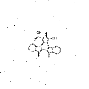 O=C(O)c1[nH]c(O)c2c1c1c3ccccc3[nH]c1c1[nH]c3ccccc3c12